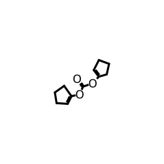 O=C(OC1=CCCC1)OC1=CCCC1